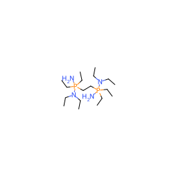 CCN(CC)P(N)(CC)(CC)CCP(N)(CC)(CC)N(CC)CC